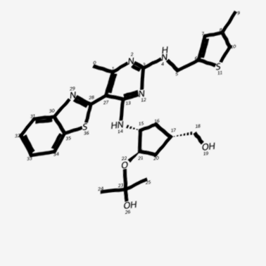 Cc1nc(NCC2=CC(C)CS2)nc(N[C@@H]2C[C@H](CO)C[C@H]2OC(C)(C)O)c1-c1nc2ccccc2s1